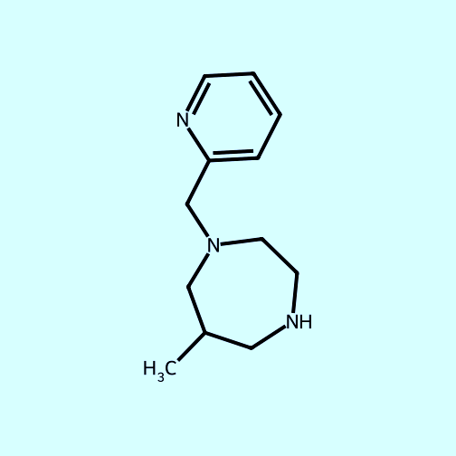 CC1CNCCN(Cc2ccccn2)C1